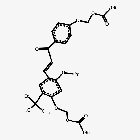 CCC(C)(C)c1cc(C=CC(=O)c2ccc(OCOC(=O)C(C)(C)C)cc2)c(OC(C)C)cc1OCOC(=O)C(C)(C)C